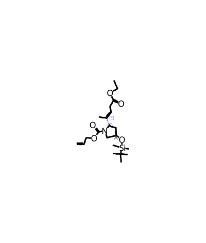 C=CCOC(=O)N1C[C@H](O[Si](C)(C)C(C)(C)C)C[C@H]1/C(C)=C/CC(=O)OCC